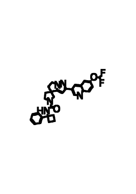 O=C(NC1(c2ccccc2)CCC1)N1CCC2(CCn3nc(-c4cnc5ccc(OC(F)F)cc5c4)cc32)C1